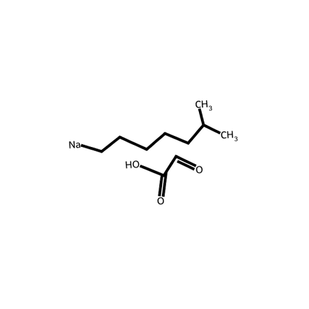 CC(C)CCCC[CH2][Na].O=CC(=O)O